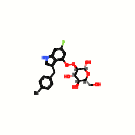 CCc1ccc(Cc2c[nH]c3cc(F)cc(OO[C@@H]4[C@@H](O)[C@H](O)[C@@H](CO)O[C@H]4O)c23)cc1